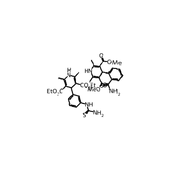 CCOC(=O)C1=C(C)NC(C)=C(C(=O)OCC)C1c1cccc(NC(N)=S)c1.COC(=O)C1=C(C)NC(C)=C(C(=O)OC)C1c1ccccc1C(N)=S